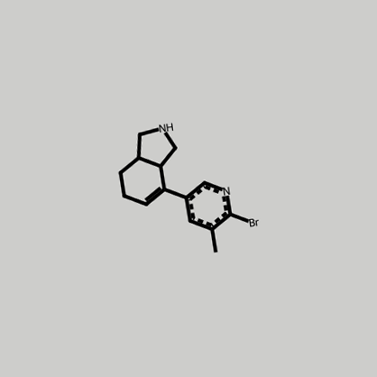 Cc1cc(C2=CCCC3CNCC23)cnc1Br